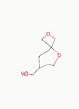 OCC1COC2(COC2)C1